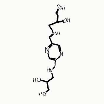 OCC(O)CNCc1cnc(CNCC(O)CO)cn1